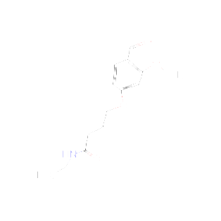 CCNC(=O)CCCOc1ccc(C=O)c(OC)c1